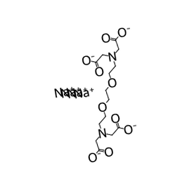 O=C([O-])CN(CCOCCOCCN(CC(=O)[O-])CC(=O)[O-])CC(=O)[O-].[Na+].[Na+].[Na+].[Na+]